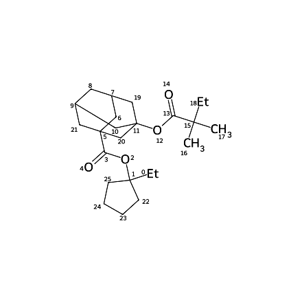 CCC1(OC(=O)C23CC4CC(CC(OC(=O)C(C)(C)CC)(C4)C2)C3)CCCC1